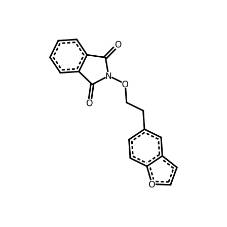 O=C1c2ccccc2C(=O)N1OCCc1ccc2occc2c1